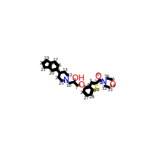 O=C(c1cc2c(OC[C@@H](O)CN3CCC(c4ccc5c(c4)CC=C5)CC3)cccc2s1)N1CCOCC1